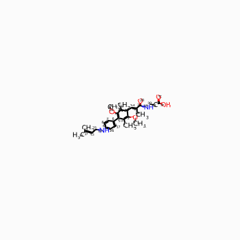 COc1c(C)c(-c2ccc(NCC=C(C)C)cc2)c(OC)c(C)c1/C=C(\C)C(=O)NCCC(=O)O